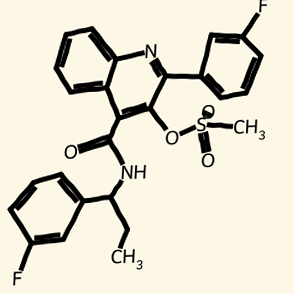 CCC(NC(=O)c1c(OS(C)(=O)=O)c(-c2cccc(F)c2)nc2ccccc12)c1cccc(F)c1